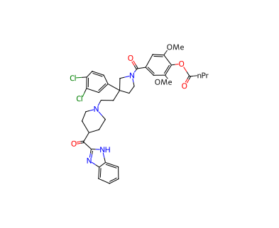 CCCC(=O)Oc1c(OC)cc(C(=O)N2CCC(CCN3CCC(C(=O)c4nc5ccccc5[nH]4)CC3)(c3ccc(Cl)c(Cl)c3)C2)cc1OC